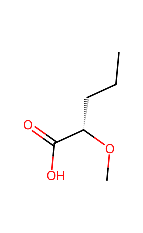 CCC[C@H](OC)C(=O)O